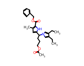 CCc1cn(C(CCCOC(C)=O)c2cc(C)c(C(=O)OCc3ccccc3)[nH]2)cc1CC